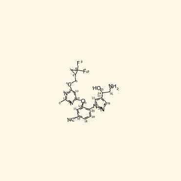 Cc1nc(OCC2CC2(F)F)cc(Oc2cc(C#N)ccc2-n2cc(C(O)CN)cn2)n1